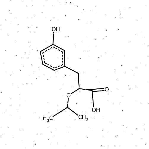 CC(C)OC(Cc1cccc(O)c1)C(=O)O